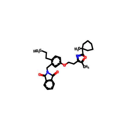 Cc1oc(C2(C)CCCCC2)nc1CCOc1ccc(CCC(=O)O)c(CN2C(=O)c3ccccc3C2=O)c1